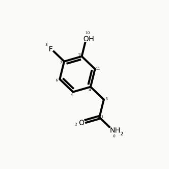 NC(=O)Cc1ccc(F)c(O)c1